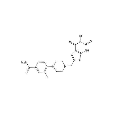 CCn1c(=O)[nH]c2sc(CN3CCN(c4ccc(C(=O)NC)nc4F)CC3)cc2c1=O